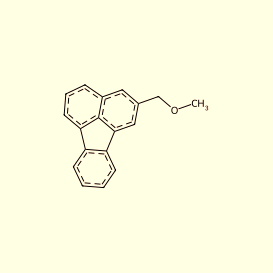 COCc1cc2c3c(cccc3c1)-c1ccccc1-2